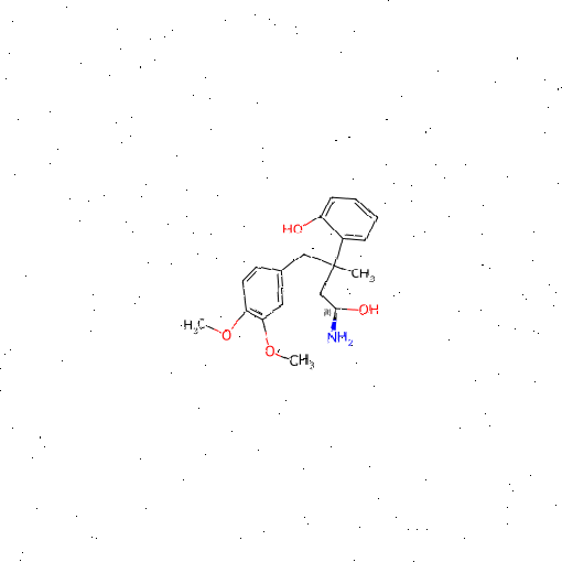 COc1ccc(CC(C)(C[C@H](N)O)c2ccccc2O)cc1OC